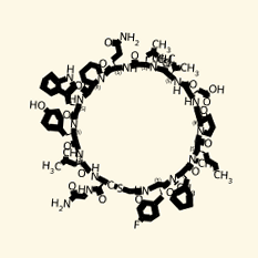 CCCC[C@H]1C(=O)N2CCC[C@@H]2C(=O)N[C@@H](CC(=O)O)C(=O)N[C@@H](C(C)C)C(=O)N(C)[C@@H](CC(C)C)C(=O)N[C@@H](CCC(N)=O)C(=O)N2CCCC[C@@H]2C(=O)N[C@@H](Cc2c[nH]c3ccccc23)C(=O)N[C@@H](Cc2ccc(O)cc2)C(=O)N[C@@H](CC(C)C)C(=O)N[C@H](C(=O)NCC(N)=O)CSCC(=O)N[C@@H](Cc2ccc(F)cc2)C(=O)N(C)[C@@H](Cc2ccccc2)C(=O)N1C